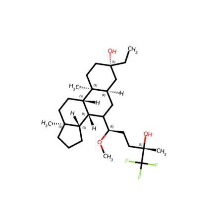 CC[C@]1(O)CC[C@@]2(C)[C@H](CC([C@@H](CC[C@](C)(O)C(F)(F)F)OC)[C@@H]3[C@@H]4CCC[C@@]4(C)CC[C@@H]32)C1